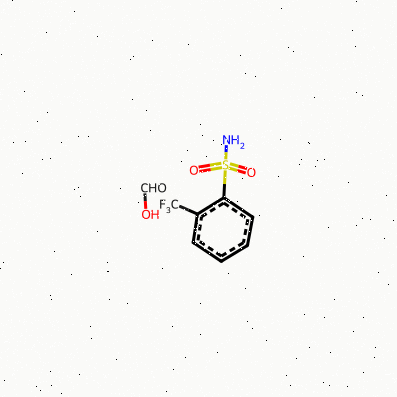 NS(=O)(=O)c1ccccc1C(F)(F)F.O=CO